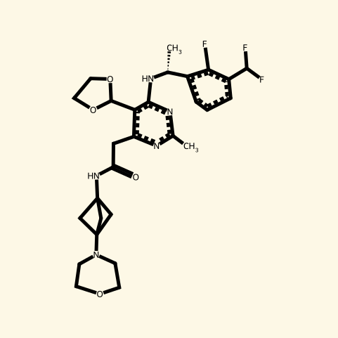 Cc1nc(CC(=O)NC23CC(N4CCOCC4)(C2)C3)c(C2OCCO2)c(N[C@H](C)c2cccc(C(F)F)c2F)n1